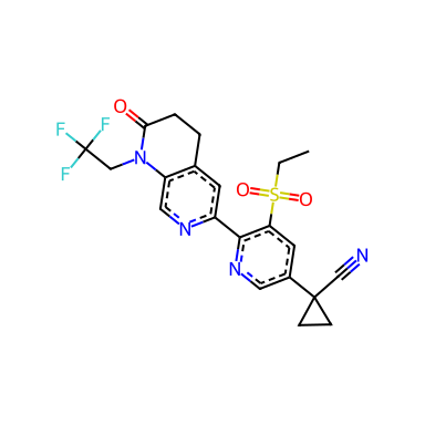 CCS(=O)(=O)c1cc(C2(C#N)CC2)cnc1-c1cc2c(cn1)N(CC(F)(F)F)C(=O)CC2